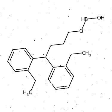 CCc1ccccc1C(CCCOBO)c1ccccc1CC